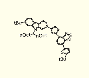 CCCCCCCCC(CCCCCCCC)n1c2cc(-c3ccc(-c4ccc(-c5ccc(C(C)(C)C)s5)c5nsnc45)s3)ccc2c2ccc(C(C)(C)C)cc21